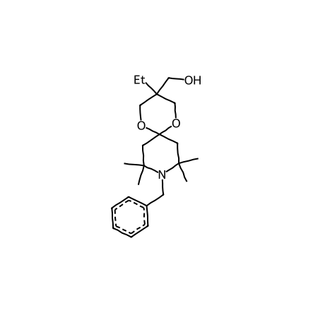 CCC1(CO)COC2(CC(C)(C)N(Cc3ccccc3)C(C)(C)C2)OC1